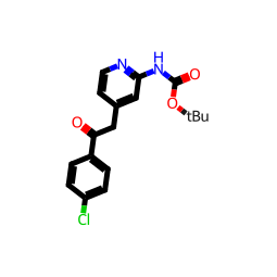 CC(C)(C)OC(=O)Nc1cc(CC(=O)c2ccc(Cl)cc2)ccn1